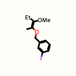 CC/C(OC)=C(\C)OCc1cccc(I)c1